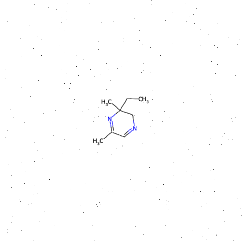 CCC1(C)CN=CC(C)=N1